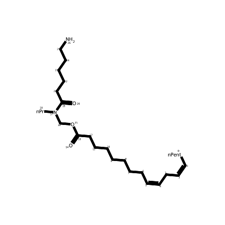 CCCCC/C=C\C/C=C\CCCCCCCC(=O)OCN(CCC)C(=O)CCCCCN